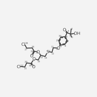 CC(C)(O)C(=O)c1ccc(OCCSCC(COC(=O)CCCl)OC(=O)CCCl)cc1